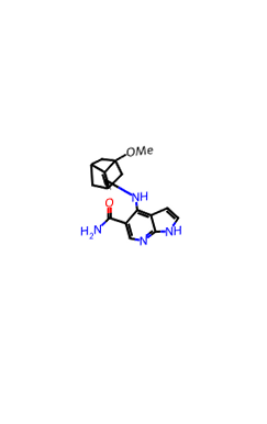 COC12CC3CC(C1)C(Nc1c(C(N)=O)cnc4[nH]ccc14)C=C32